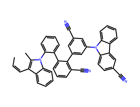 C/C=C\c1c(C)n(-c2ccccc2-c2cccc(C#N)c2-c2cc(C#N)cc(-n3c4ccccc4c4cc(C#N)ccc43)c2)c2ccccc12